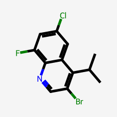 CC(C)c1c(Br)cnc2c(F)cc(Cl)cc12